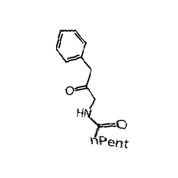 CCCCCC(=O)NCC(=O)Cc1ccccc1